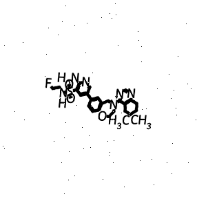 CC1(C)CCc2ncnc(N3CCOc4ccc(-c5cnc(N)c(S(=O)(=O)NCCF)c5)cc4C3)c2C1